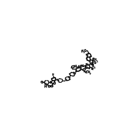 CCOc1cc(N2CCC(N3CCN(CC4CCN(c5cc(F)cc6c5oc(=O)n6C5CCC(=O)NC5=O)CC4)CC3)CC2)c(CC)cc1Nc1ncc(Br)c(Nc2ccc3nc(CC)ccc3c2P(C)(C)=O)n1